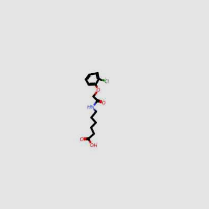 O=C(O)CCCCCNC(=O)COc1ccccc1Cl